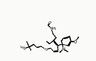 CC/C(CCNC=O)=C(\C=C/COCCCC(C)(C)S)C1(N(C)C)C=C(OC)C=CC1